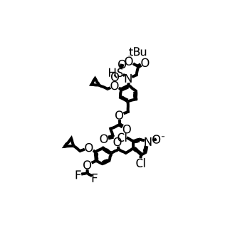 CC(C)(C)OC(=O)CN(c1ccc(COC(=O)CC(=O)OC(Cc2c(Cl)c[n+]([O-])cc2Cl)c2ccc(OC(F)F)c(OCC3CC3)c2)cc1OCC1CC1)[SH](=O)=O